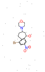 COC1CC(N2CCOCC2)CCc2c(Br)cc([N+](=O)[O-])cc21